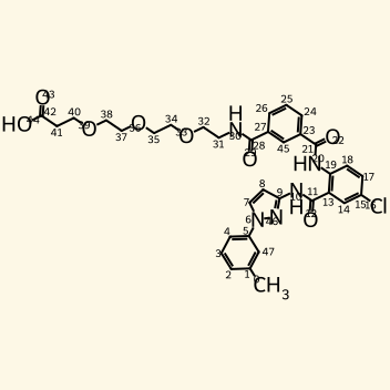 Cc1cccc(-n2ccc(NC(=O)c3cc(Cl)ccc3NC(=O)c3cccc(C(=O)NCCOCCOCCOCCC(=O)O)c3)n2)c1